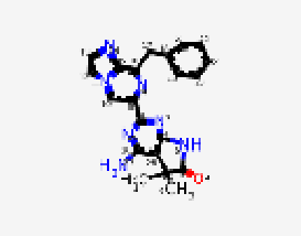 CC1(C)C(=O)Nc2nc(-c3cn4ccnc4c(Cc4ccccc4)n3)nc(N)c21